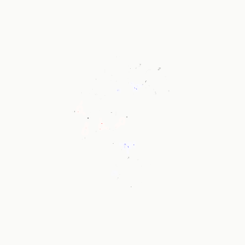 C=C(/C=C\C(=O)O)NCC(=O)OC1(CC)C(=O)OCC(C(C)=O)=C1/C=C(\C)c1nc2ccccc2cc1CC